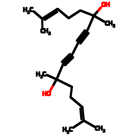 CC(C)=CCCC(C)(O)C#CC#CC(C)(O)CCC=C(C)C